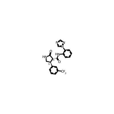 O=C1NC[C@H](c2cccc(C(F)(F)F)c2)[C@H]1C(=O)Nc1ccccc1-n1cncn1